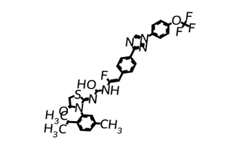 Cc1ccc(C(C)C)c(N2C(=O)CS/C2=N\C(O)N/C(F)=C/c2ccc(-c3ncn(-c4ccc(OC(F)(F)F)cc4)n3)cc2)c1